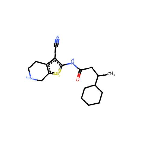 CC(CC(=O)Nc1sc2c(c1C#N)CCNC2)C1CCCCC1